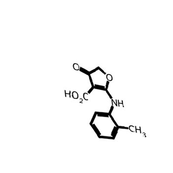 Cc1ccccc1NC1=C(C(=O)O)C(=O)CO1